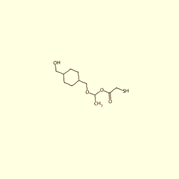 CC(OCC1CCC(CO)CC1)OC(=O)CS